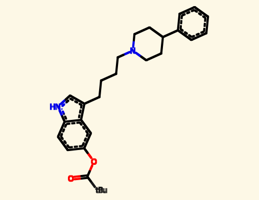 CC(C)(C)C(=O)Oc1ccc2[nH]cc(CCCCN3CCC(c4ccccc4)CC3)c2c1